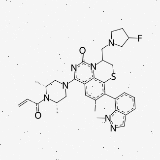 C=CC(=O)N1[C@H](C)CN(c2nc(=O)n3c4c(c(-c5cccc6cnn(C)c56)c(C)cc24)SCC3CN2CCC(F)C2)C[C@@H]1C